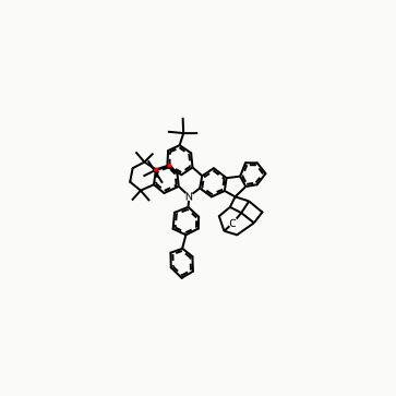 CC(C)(C)c1cc(-c2cc3c(cc2N(c2ccc(-c4ccccc4)cc2)c2ccc4c(c2)C(C)(C)CCC4(C)C)C2(c4ccccc4-3)C3CC4CC5CC2C53C4)cc(C(C)(C)C)c1